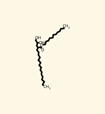 CCCCCCCCCCCCCCCCC(CC(O)CO)C(=O)OCCCCCCCCCCCC